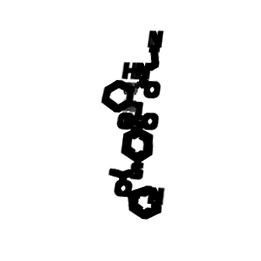 CC(Oc1cccnc1)Sc1ccc(S(=O)(=O)C[C@H]2CCCC[C@@H]2C(=O)NCC#N)cc1